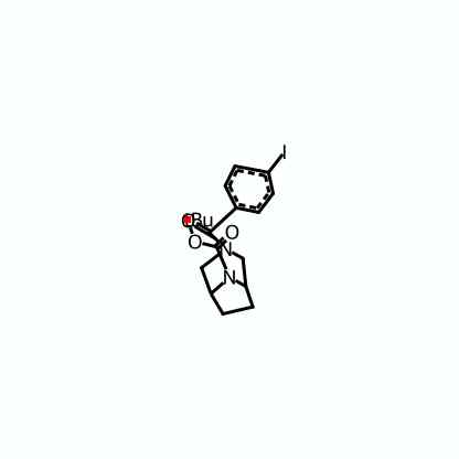 CC(C)(C)OC(=O)N1C2CCC1CN(C(=O)c1ccc(I)cc1)C2